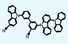 N#Cc1cc(-c2cccc(-n3c4ccccc4c4cc(C#N)ccc43)c2)cc(-n2c3ccccc3c3c(-n4c5ccccc5c5ccccc54)cccc32)c1